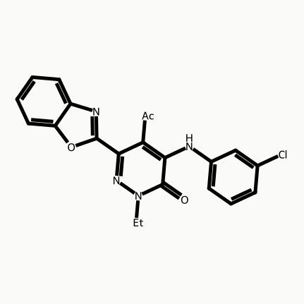 CCn1nc(-c2nc3ccccc3o2)c(C(C)=O)c(Nc2cccc(Cl)c2)c1=O